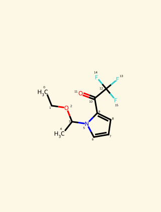 CCOC(C)n1cccc1C(=O)C(F)(F)F